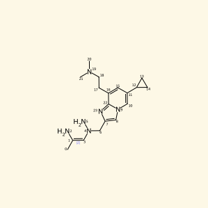 C/C(N)=C/N(N)Cc1cn2cc(C3CC3)cc(CCN(C)C)c2n1